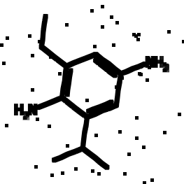 CCc1cc(N)cc(C(C)C)c1N